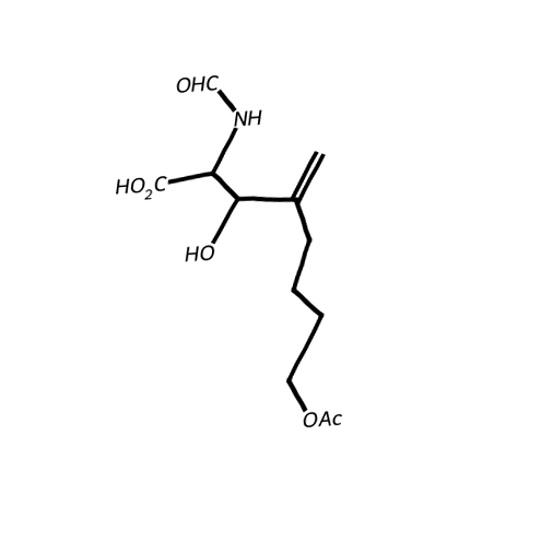 C=C(CCCCOC(C)=O)C(O)C(NC=O)C(=O)O